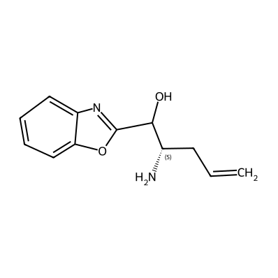 C=CC[C@H](N)C(O)c1nc2ccccc2o1